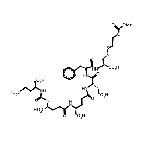 COC(=O)OCCSSC[C@H](NC(=O)[C@H](Cc1ccccc1)NC(=O)[C@H](CC(=O)O)NC(=O)CC[C@H](NC(=O)CC[C@H](NC(=S)N[C@@H](CCC(=O)O)C(=O)O)C(=O)O)C(=O)O)C(=O)O